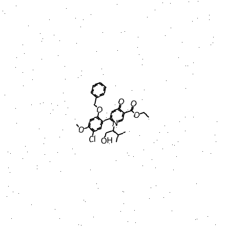 CCOC(=O)c1cn(C(CO)C(C)C)c(-c2cc(Cl)c(OC)cc2OCc2ccccc2)cc1=O